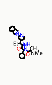 CC[C@H](C(=N)C(=O)[C@@H](NC(=O)[C@H](C)NC)C1CCCCC1)c1ccnc(N2Cc3ccccc3C2)c1